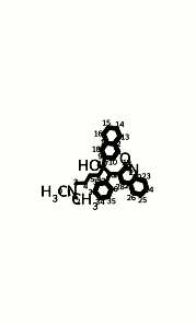 CN(C)CCCCC1(O)c2cc(c3ccccc3c2)Oc2nc3ccccc3cc2C1c1ccccc1